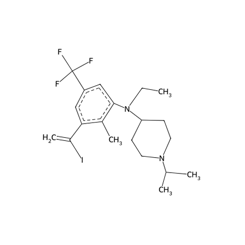 C=C(I)c1cc(C(F)(F)F)cc(N(CC)C2CCN(C(C)C)CC2)c1C